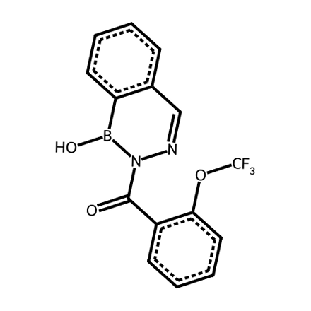 O=C(c1ccccc1OC(F)(F)F)N1N=Cc2ccccc2B1O